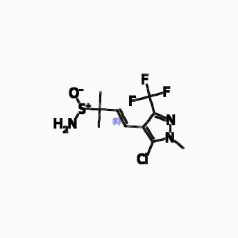 Cn1nc(C(F)(F)F)c(/C=C/C(C)(C)[S+](N)[O-])c1Cl